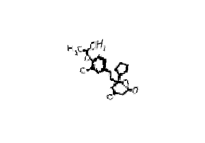 CC(C)Oc1ccc(CCC2(C3CCCC3)CC(=O)CC(=O)O2)cc1Cl